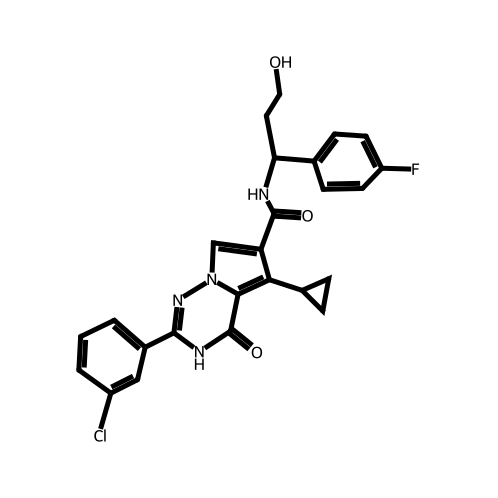 O=C(NC(CCO)c1ccc(F)cc1)c1cn2nc(-c3cccc(Cl)c3)[nH]c(=O)c2c1C1CC1